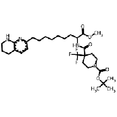 COC(=O)C(CCCCCCCc1ccc2c(n1)NCCC2)NC(=O)C1(C(F)(F)F)CCN(C(=O)OC(C)(C)C)CC1